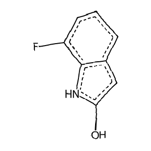 Oc1cc2cccc(F)c2[nH]1